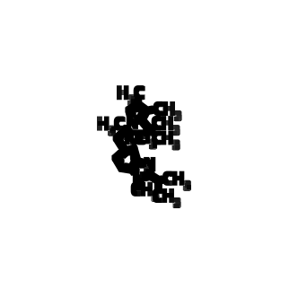 Cc1cn(C(C)(C)Cc2ccc3c(c2)nc(C(C)C)n3C)c(C(C)(C)C)c1C